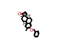 Cc1cc2c(cc1OCc1ccccc1)CC[C@@H]1[C@@H]2CC[C@]2(C)C(=O)C=C[C@@H]12